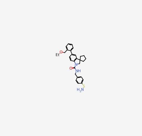 CCOCc1ccccc1-c1ccc2c(c1)C1(CCCC1)CN2C(=O)NCc1ccc(SN)cc1